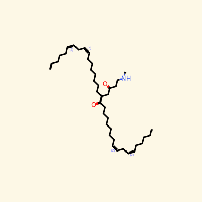 CCCCC/C=C\C/C=C\CCCCCCCC(=O)C(CCCCCCC/C=C\C/C=C\CCCCC)CC(=O)CCNC